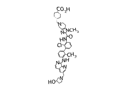 Cc1c(Nc2nccc3cc(CN4CCC(O)C4)cnc23)cccc1-c1cccc(NC(=O)c2nc3c(n2C)CCN(C[C@H]2CC[C@@H](C(=O)O)CC2)C3)c1Cl